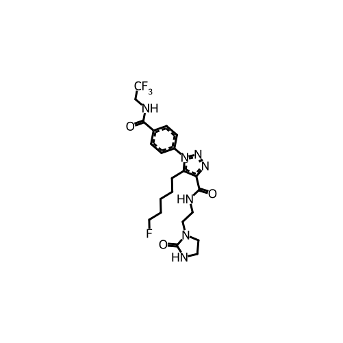 O=C(NCC(F)(F)F)c1ccc(-n2nnc(C(=O)NCCN3CCNC3=O)c2CCCCCF)cc1